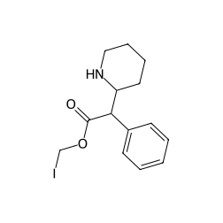 O=C(OCI)C(c1ccccc1)C1CCCCN1